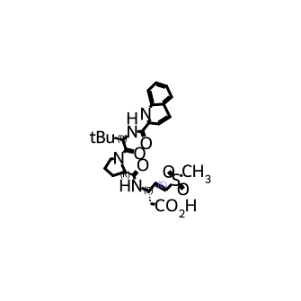 CC(C)(C)[C@@H](NC(=O)c1ccc2ccccc2n1)C(=O)N1CCC[C@@H]1C(=O)N[C@H](/C=C/S(C)(=O)=O)CC(=O)O